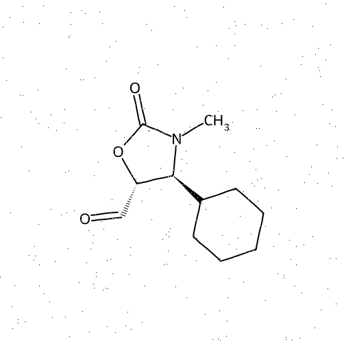 CN1C(=O)O[C@@H](C=O)[C@@H]1C1CCCCC1